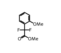 COC(=O)C(F)(F)c1ccccc1OC